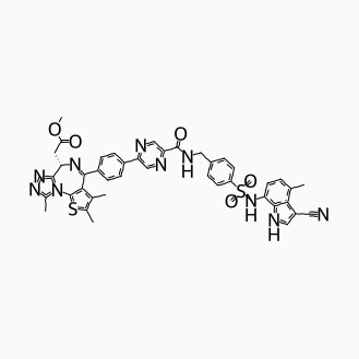 COC(=O)C[C@@H]1N=C(c2ccc(-c3cnc(C(=O)NCc4ccc(S(=O)(=O)Nc5ccc(C)c6c(C#N)c[nH]c56)cc4)cn3)cc2)c2c(sc(C)c2C)-n2c(C)nnc21